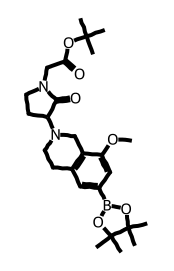 COc1cc(B2OC(C)(C)C(C)(C)O2)cc2c1CN(C1CCN(CC(=O)OC(C)(C)C)C1=O)CC2